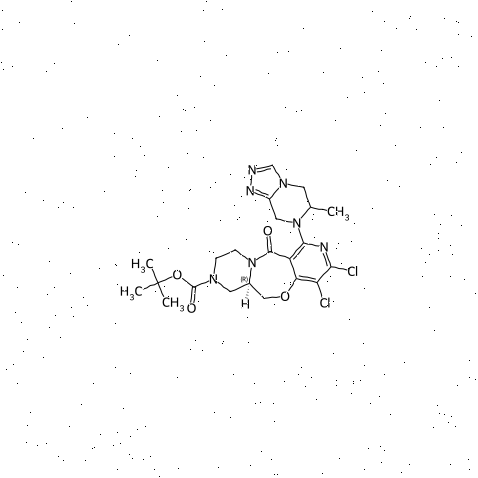 CC1Cn2cnnc2CN1c1nc(Cl)c(Cl)c2c1C(=O)N1CCN(C(=O)OC(C)(C)C)C[C@@H]1CO2